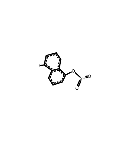 O=[SH](=O)Oc1cccc2c(I)cccc12